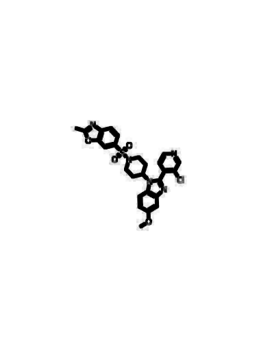 COc1ccc2c(c1)nc(-c1ccncc1Cl)n2C1CCN(S(=O)(=O)c2ccc3nc(C)oc3c2)CC1